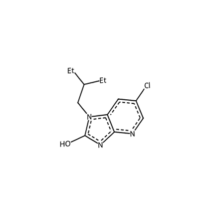 CCC(CC)Cn1c(O)nc2ncc(Cl)cc21